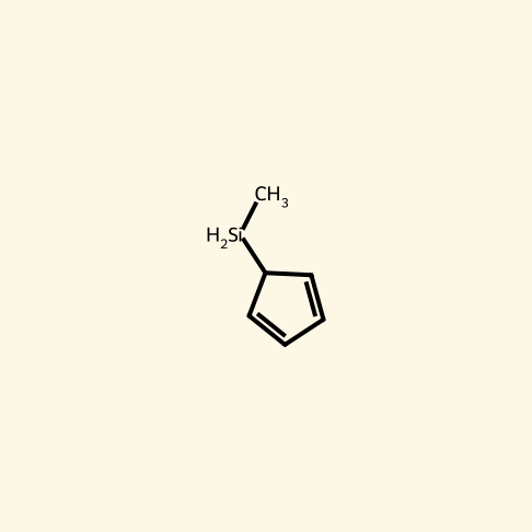 C[SiH2]C1C=CC=C1